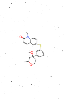 COC1(c2cccc(Sc3ccc4c(ccc(=O)n4C)c3)c2)CCOC(C)C1